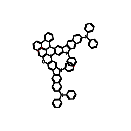 c1ccc(-c2ccccc2N2c3cc4c5cc6ccc(N(c7ccccc7)c7ccccc7)cc6cc5n(-c5ccccc5)c4cc3B3c4cc5c(cc4Oc4cccc2c43)c2cc3ccc(N(c4ccccc4)c4ccccc4)cc3cc2n5-c2ccccc2)cc1